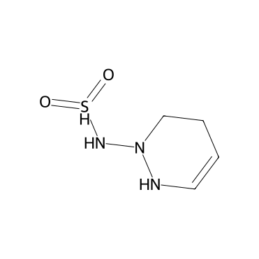 O=[SH](=O)NN1CCC=CN1